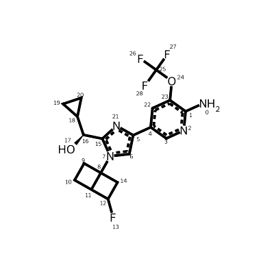 Nc1ncc(-c2cn(C34CCC3C(F)C4)c([C@@H](O)C3CC3)n2)cc1OC(F)(F)F